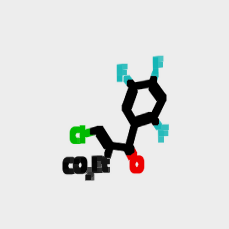 CCOC(=O)C(=CCl)C(=O)c1cc(F)c(F)cc1F